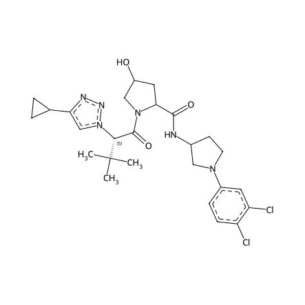 CC(C)(C)[C@@H](C(=O)N1CC(O)CC1C(=O)NC1CCN(c2ccc(Cl)c(Cl)c2)C1)n1cc(C2CC2)nn1